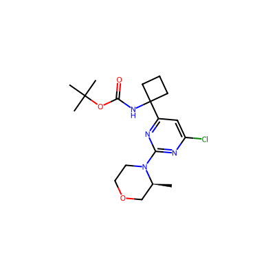 C[C@H]1COCCN1c1nc(Cl)cc(C2(NC(=O)OC(C)(C)C)CCC2)n1